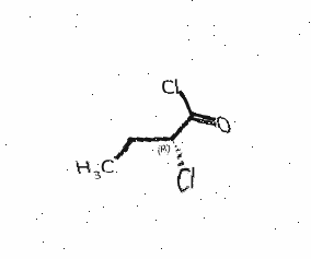 CC[C@@H](Cl)C(=O)Cl